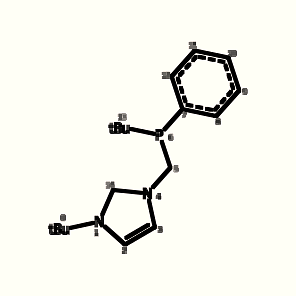 CC(C)(C)N1C=CN(CP(c2ccccc2)C(C)(C)C)C1